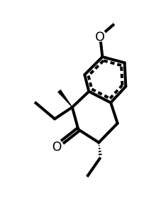 CC[C@H]1Cc2ccc(OC)cc2[C@@](C)(CC)C1=O